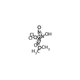 Cc1cc(C)cc(C(=O)N2CCN(C(=O)CN(CCO)C3CCN(Cc4ccccc4)CC3)C(c3ccc(Cl)c(Cl)c3)C2)c1